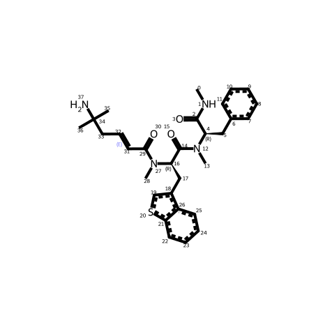 CNC(=O)[C@@H](Cc1ccccc1)N(C)C(=O)[C@@H](Cc1csc2ccccc12)N(C)C(=O)/C=C/CC(C)(C)N